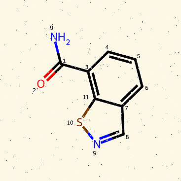 NC(=O)c1cccc2cnsc12